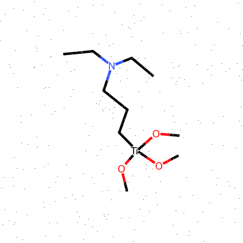 CCN(CC)CC[CH2][Ti]([O]C)([O]C)[O]C